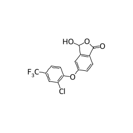 O=C1OC(O)c2cc(Oc3ccc(C(F)(F)F)cc3Cl)ccc21